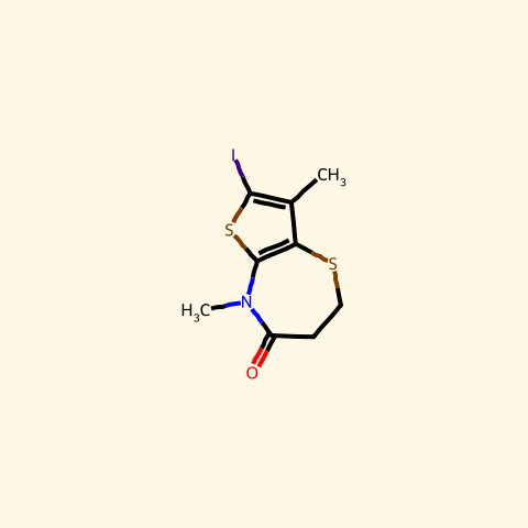 Cc1c(I)sc2c1SCCC(=O)N2C